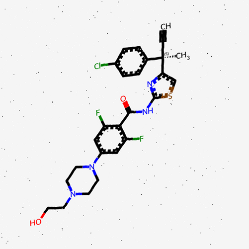 C#C[C@](C)(c1ccc(Cl)cc1)c1csc(NC(=O)c2c(F)cc(N3CCN(CCO)CC3)cc2F)n1